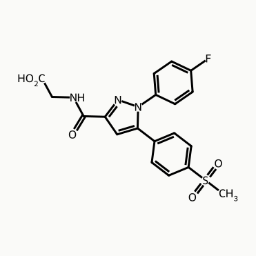 CS(=O)(=O)c1ccc(-c2cc(C(=O)NCC(=O)O)nn2-c2ccc(F)cc2)cc1